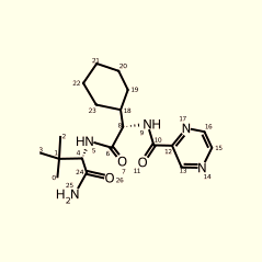 CC(C)(C)[C@H](NC(=O)[C@@H](NC(=O)c1cnccn1)C1CCCCC1)C(N)=O